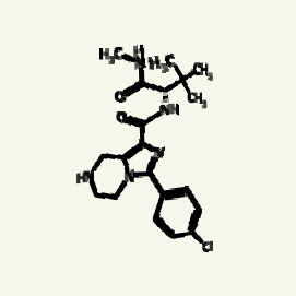 CNC(=O)[C@@H](NC(=O)c1nc(-c2ccc(Cl)cc2)n2c1CNCC2)C(C)(C)C